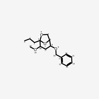 CCCC12OCC(O1)C(OCc1ccccc1)CC2OC